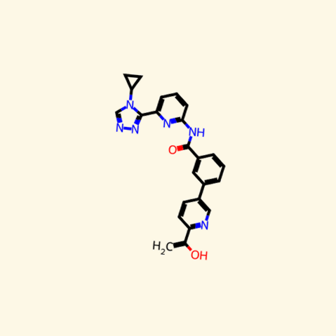 C=C(O)c1ccc(-c2cccc(C(=O)Nc3cccc(-c4nncn4C4CC4)n3)c2)cn1